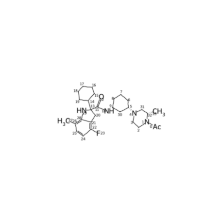 CC(=O)N1CCN([C@H]2CCC[C@@H](NC(=O)C3(C4CCCCC4)Cc4c(F)ccc(C)c4N3)C2)C[C@@H]1C